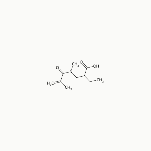 C=C(C)C(=O)N(C)CC(CC)C(=O)O